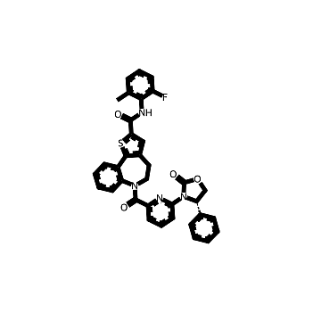 Cc1cccc(F)c1NC(=O)c1cc2c(s1)-c1ccccc1N(C(=O)c1cccc(N3C(=O)OC[C@@H]3c3ccccc3)n1)CC2